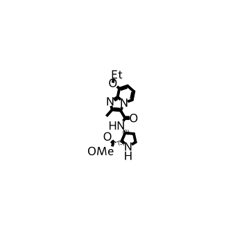 CCOc1cccn2c(C(=O)N[C@@H]3CCN[C@@H]3C(=O)OC)c(C)nc12